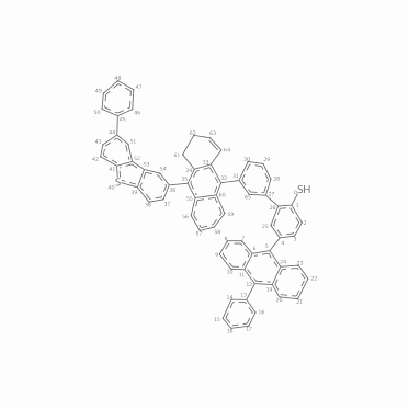 Sc1ccc(-c2c3ccccc3c(-c3ccccc3)c3ccccc23)cc1-c1cccc(-c2c3c(c(-c4ccc5sc6ccc(-c7ccccc7)cc6c5c4)c4ccccc24)CCC=C3)c1